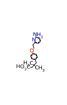 CC(C)(CC(=O)O)Cc1ccc(OCCc2cccc(N)n2)cc1